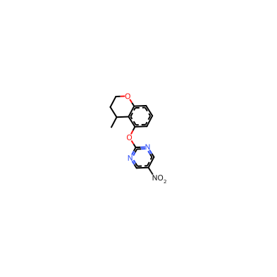 CC1CCOc2cccc(Oc3ncc([N+](=O)[O-])cn3)c21